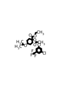 CCOC(=O)C1(OC(C)=O)CCC(OC(C)C)CC1.FC(F)(F)c1cc(Cl)cc(Cl)c1